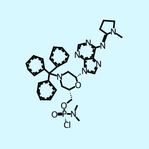 CN1CCC/C1=N\c1ncnc2c1ncn2[C@H]1CN(C(c2ccccc2)(c2ccccc2)c2ccccc2)C[C@@H](CO[P@@](=O)(Cl)N(C)C)O1